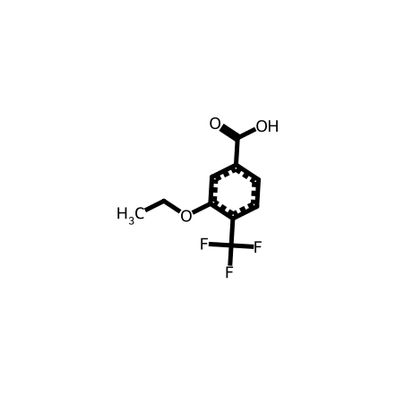 CCOc1cc(C(=O)O)ccc1C(F)(F)F